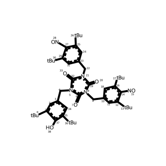 CC(C)(C)c1cc(Cn2c(=O)n(Cc3cc(C(C)(C)C)c(N=O)c(C(C)(C)C)c3)c(=O)n(Cc3cc(C(C)(C)C)c(N=O)c(C(C)(C)C)c3)c2=O)cc(C(C)(C)C)c1O